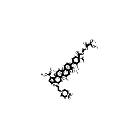 C=C(C)[C@@H]1CC[C@]2(NCCN3CCS(=O)(=O)CC3)CC[C@]3(C)[C@H](CC[C@@H]4[C@@]5(C)CC=C(C6=CC[C@@](CF)(C(=O)OCOC(=O)C(C)C)CC6)C(C)(C)[C@@H]5CC[C@]43C)[C@@H]12